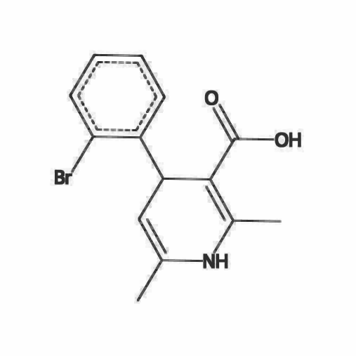 CC1=CC(c2ccccc2Br)C(C(=O)O)=C(C)N1